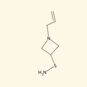 C=CCN1CC(SN)C1